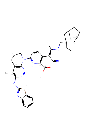 CCC1(CN/C(C)=C(\C=N)c2ccc(N3CCCc4c3nnc(Nc3nc5ccccc5s3)c4C)nc2C(=O)O)CC2CCC(C2)C1